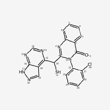 O=c1c2ccccc2nc(C(S)c2ncnc3[nH]ncc23)n1-c1ccccc1Cl